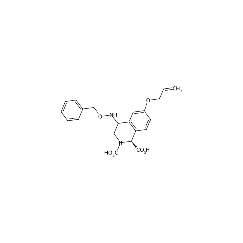 C=CCOc1ccc2c(c1)C(NOCc1ccccc1)CN(C(=O)O)[C@@H]2C(=O)O